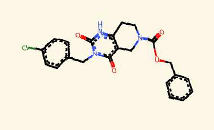 O=C(OCc1ccccc1)N1CCc2[nH]c(=O)n(Cc3ccc(Cl)cc3)c(=O)c2C1